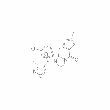 COc1ccc(C23Cn4cc(C)cc4C(=O)N2CCN3C(=O)c2conc2C)cc1